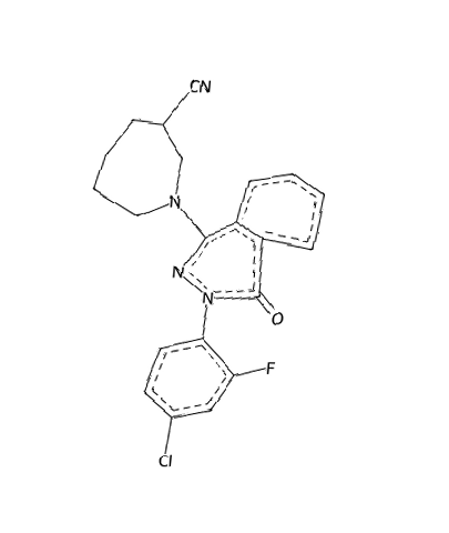 N#CC1CCCCN(c2nn(-c3ccc(Cl)cc3F)c(=O)c3ccccc23)C1